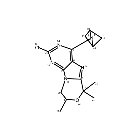 CC1Cn2c(nc3c(N4CC5CC4C5)nc(Cl)nc32)C(C)(C)O1